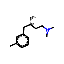 CCC[C@H](CCN(C)C)Cc1cccc(C)c1